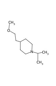 COCCC1CCN(C(C)C)CC1